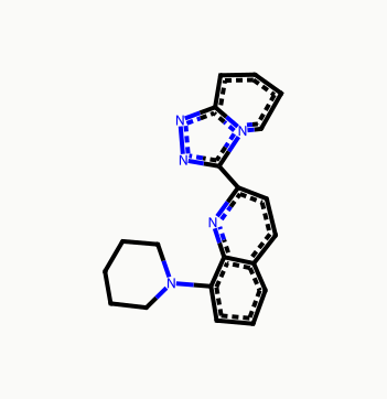 c1cc(N2CCCCC2)c2nc(-c3nnc4ccccn34)ccc2c1